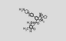 CCC1(C(=O)Nc2cc(-c3ccc(N4CCC(N)CC4)nc3)cc(C(=O)NCc3c(C)cc(C)[nH]c3=O)c2C)CCCC1